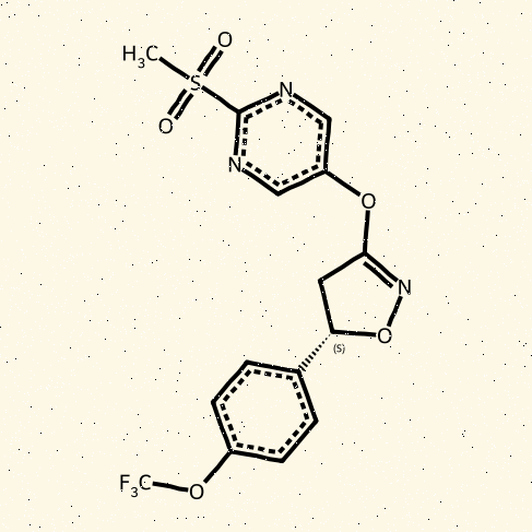 CS(=O)(=O)c1ncc(OC2=NO[C@H](c3ccc(OC(F)(F)F)cc3)C2)cn1